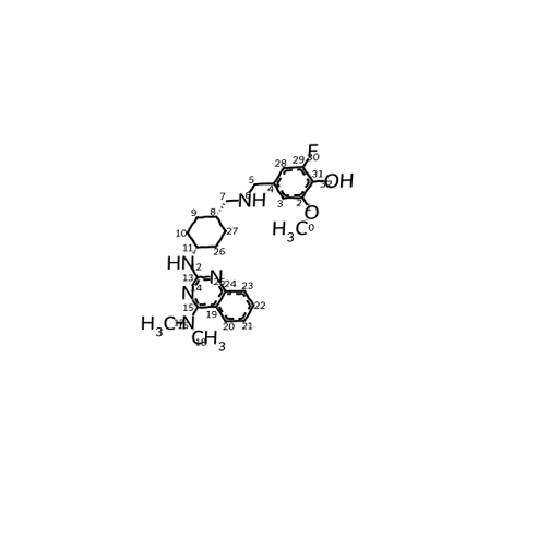 COc1cc(CNC[C@H]2CC[C@@H](Nc3nc(N(C)C)c4ccccc4n3)CC2)cc(F)c1O